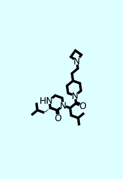 CC(C)CC(C(=O)N1CCC(CCN2CCC2)CC1)N1CCN[C@@H](CC(C)C)C1=O